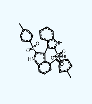 COC(=O)c1cccc2[nH]c(S(=O)(=O)c3ccc(C)cc3)c(-c3c(S(=O)(=O)c4ccc(C)cc4)[nH]c4ccccc34)c12